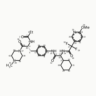 CCC(=O)N[C@H](Cc1ccc(NC(=O)[C@@H](NC(=O)C(F)(F)c2ccc(OC)nc2)C2CCCCC2)cc1)C(=O)N1CCN(C)CC1